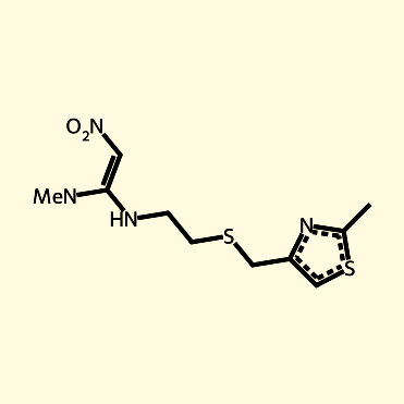 CNC(=C[N+](=O)[O-])NCCSCc1csc(C)n1